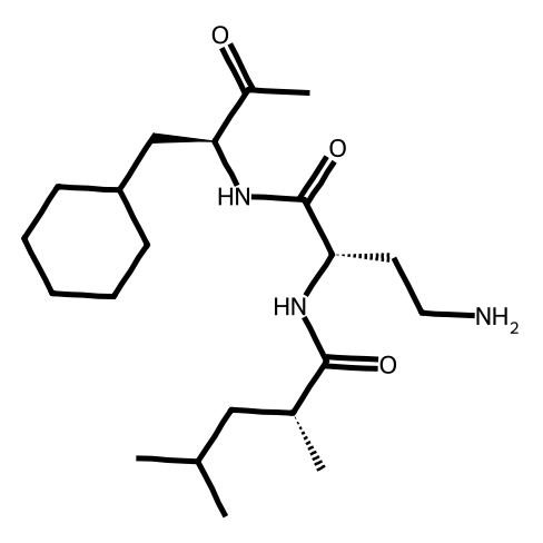 CC(=O)[C@H](CC1CCCCC1)NC(=O)[C@H](CCN)NC(=O)[C@H](C)CC(C)C